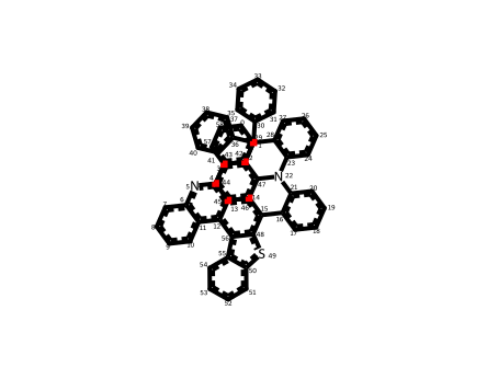 c1ccc(-c2nc3ccccc3c3c2cc(-c2ccccc2N2c4ccccc4C(c4ccccc4)(c4ccccc4)c4ccccc42)c2sc4ccccc4c23)cc1